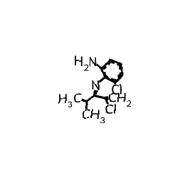 C=C(Cl)/C(=N\c1c(N)cccc1Cl)C(C)C